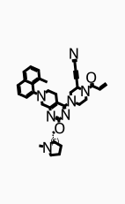 C=CC(=O)N1CCN(c2nc(OC[C@@H]3CCCN3C)nc3c2CCN(c2cccc4cccc(C)c24)C3)CC1C#CC#N